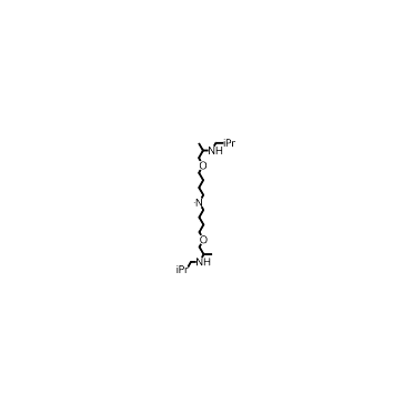 CC(C)CNC(C)COCCCC[N]CCCCOCC(C)NCC(C)C